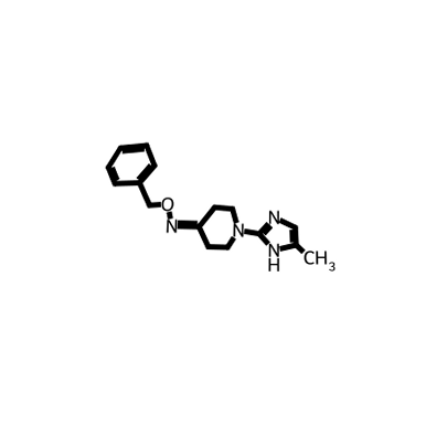 Cc1cnc(N2CCC(=NOCc3ccccc3)CC2)[nH]1